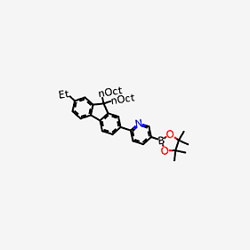 CCCCCCCCC1(CCCCCCCC)c2cc(CC)ccc2-c2ccc(-c3ccc(B4OC(C)(C)C(C)(C)O4)cn3)cc21